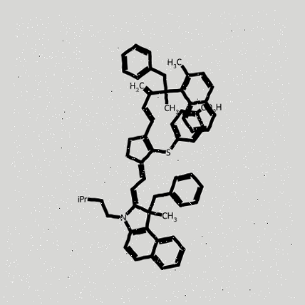 C=C(/C=C/C1=C(Sc2ccc(C(=O)O)cc2)C(=C/C=C2/N(CCC(C)C)c3ccc4ccccc4c3C2(C)Cc2ccccc2)/CC1)C(C)(Cc1ccccc1)c1c(C)ccc2ccccc12